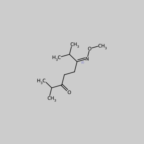 CO/N=C(/CCC(=O)C(C)C)C(C)C